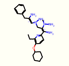 CCc1nc(/C(N)=C(\CN(N)/C=C(\N)Cc2ccccc2)N(C)N)ccc1OC1CCCCC1